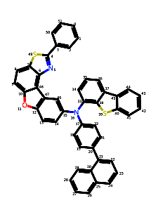 c1ccc(-c2nc3c(ccc4oc5ccc(N(c6ccc(-c7cccc8ccccc78)cc6)c6cccc7c6sc6ccccc67)cc5c43)s2)cc1